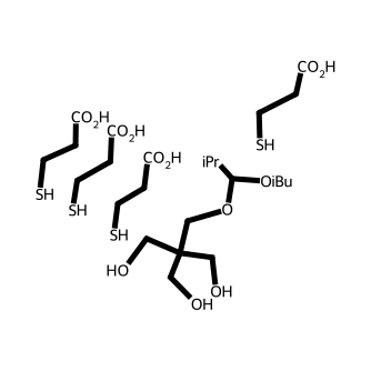 CC(C)COC(OCC(CO)(CO)CO)C(C)C.O=C(O)CCS.O=C(O)CCS.O=C(O)CCS.O=C(O)CCS